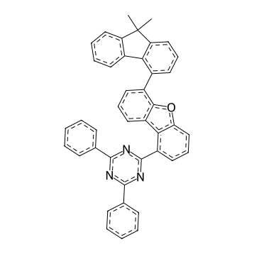 CC1(C)c2ccccc2-c2c(-c3cccc4c3oc3cccc(-c5nc(-c6ccccc6)nc(-c6ccccc6)n5)c34)cccc21